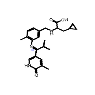 Cc1ccc(CNC(CC2CC2)C(=O)O)cc1/N=C(/c1c[nH]c(=O)c(C)c1)C(C)C